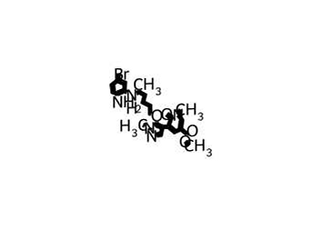 COC(=O)c1cc(-c2cnn(C)c2OCCCCC(C)Nc2cc(Br)ccc2N)c(=O)n(C)c1